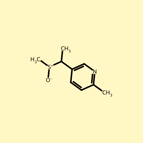 Cc1ccc(C(C)[S+](C)[O-])cn1